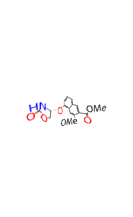 COC(=O)c1cc2cccc(OC[C@@H]3COC(=O)N3)c2cc1OC